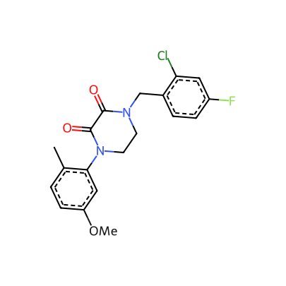 COc1ccc(C)c(N2CCN(Cc3ccc(F)cc3Cl)C(=O)C2=O)c1